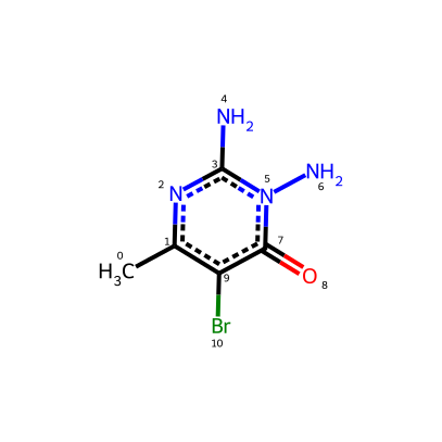 Cc1nc(N)n(N)c(=O)c1Br